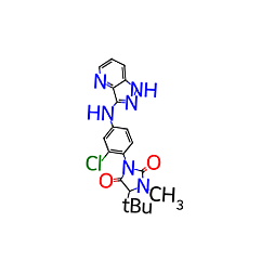 CN1C(=O)N(c2ccc(Nc3n[nH]c4cccnc34)cc2Cl)C(=O)C1C(C)(C)C